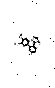 COc1ccc(-c2ccccc2-c2nncn2C)cc1N